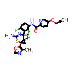 C#CCOc1ccc(C(=O)Nc2ccc(F)c([C@@]3(CF)N=C(N)S[C@@]4(c5ocnc5C)C[C@@H]34)c2)nc1